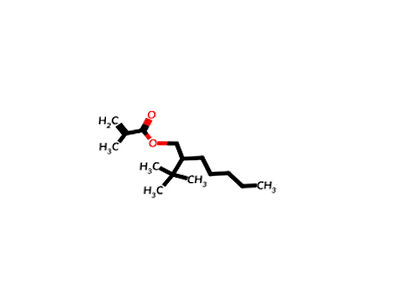 C=C(C)C(=O)OCC(CCCCC)C(C)(C)C